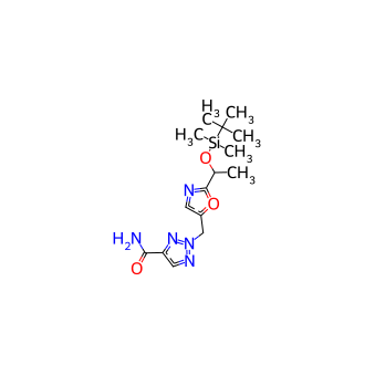 CC(O[Si](C)(C)C(C)(C)C)c1ncc(Cn2ncc(C(N)=O)n2)o1